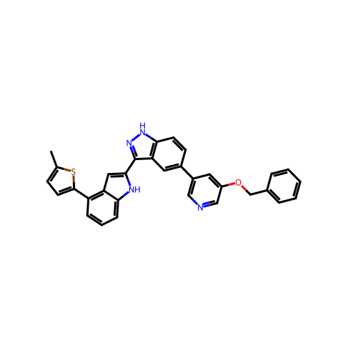 Cc1ccc(-c2cccc3[nH]c(-c4n[nH]c5ccc(-c6cncc(OCc7ccccc7)c6)cc45)cc23)s1